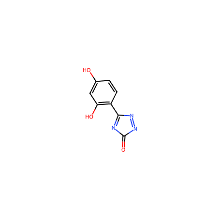 O=C1N=NC(c2ccc(O)cc2O)=N1